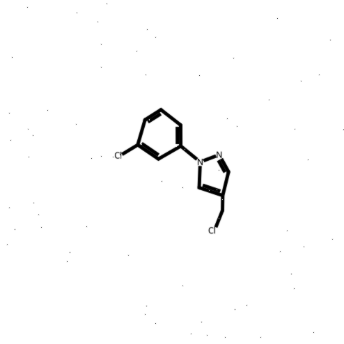 ClCc1cnn(-c2cccc(Cl)c2)c1